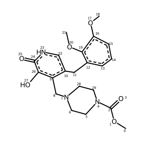 COC(=O)N1CCN(Cc2c(Cc3cccc(OC)c3OC)c[nH]c(=O)c2O)CC1